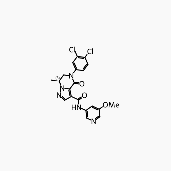 COc1cncc(NC(=O)c2cnn3c2C(=O)N(c2ccc(Cl)c(Cl)c2)C[C@@H]3C)c1